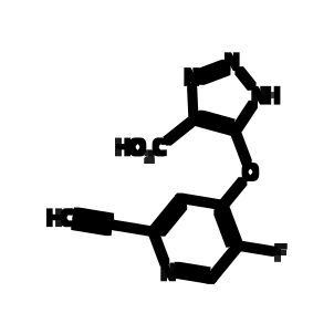 C#Cc1cc(Oc2[nH]nnc2C(=O)O)c(F)cn1